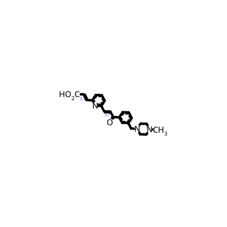 CN1CCN(Cc2cccc(C(=O)/C=C/c3cccc(/C=C/C(=O)O)n3)c2)CC1